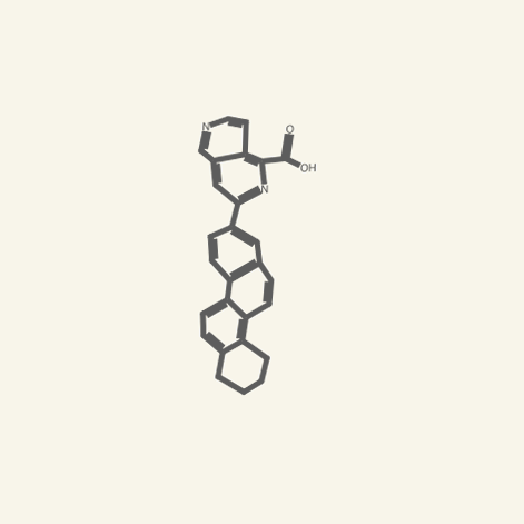 O=C(O)c1nc(-c2ccc3c(ccc4c5c(ccc43)CCCC5)c2)cc2cnccc12